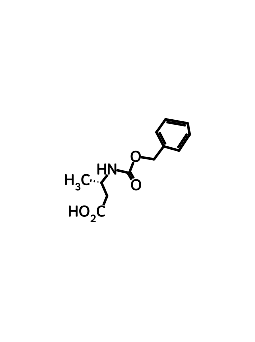 C[C@@H](CC(=O)O)NC(=O)OCc1ccccc1